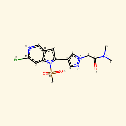 CN(C)C(=O)Cn1cc(-c2cc3cnc(Br)cc3n2S(C)(=O)=O)cn1